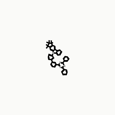 CC1(C)c2cc3c4ccccc4n(-c4cccc(-c5cccc(-c6nc(-c7ccccc7)nc(-c7ccccc7)n6)c5)c4)c3cc2C(C)(C)C1(C)C